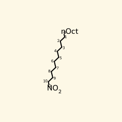 [CH2]CCCCCCCCCCCCCCCCC[N+](=O)[O-]